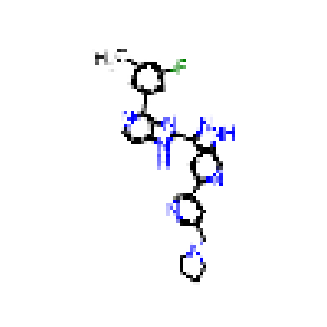 Cc1cc(F)cc(-c2nccc3[nH]c(-c4n[nH]c5cnc(-c6cncc(CN7CCCC7)c6)cc45)nc23)c1